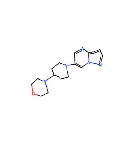 c1cc2ncc(N3CCC(N4CCOCC4)CC3)cn2n1